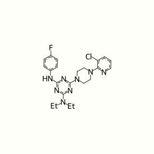 CCN(CC)c1nc(Nc2ccc(F)cc2)nc(N2CCN(c3ncccc3Cl)CC2)n1